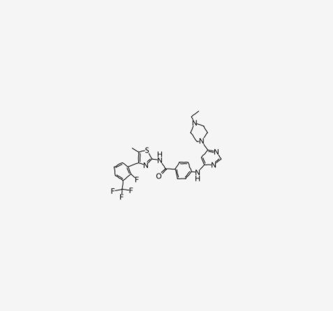 CCN1CCN(c2cc(Nc3ccc(C(=O)Nc4nc(-c5cccc(C(F)(F)F)c5F)c(C)s4)cc3)ncn2)CC1